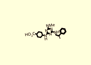 CNc1nc(NC[C@H](C)c2ccccc2)nc(NC2CCC(C(=O)O)CC2)n1